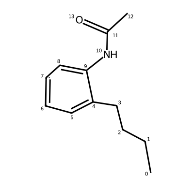 CCCCc1cc[c]cc1NC(C)=O